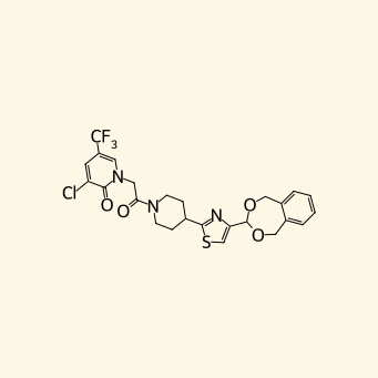 O=C(Cn1cc(C(F)(F)F)cc(Cl)c1=O)N1CCC(c2nc(C3OCc4ccccc4CO3)cs2)CC1